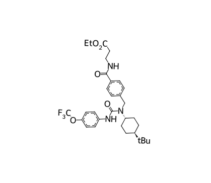 CCOC(=O)CCNC(=O)c1ccc(CN(C(=O)Nc2ccc(OC(F)(F)F)cc2)[C@H]2CC[C@H](C(C)(C)C)CC2)cc1